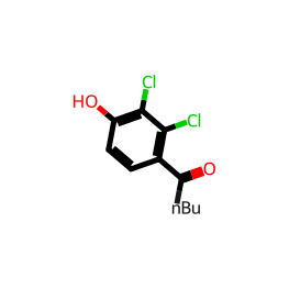 CCCCC(=O)c1ccc(O)c(Cl)c1Cl